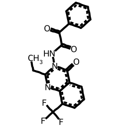 CCc1nc2c(C(F)(F)F)cccc2c(=O)n1NC(=O)C(=O)c1ccccc1